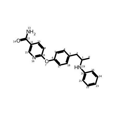 CC(Cc1ccc(Oc2ccc(C(N)=O)cn2)cc1)Nc1ccccc1